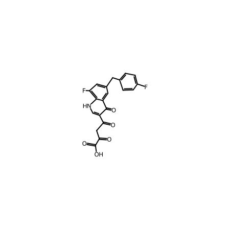 O=C(O)C(=O)CC(=O)c1c[nH]c2c(F)cc(Cc3ccc(F)cc3)cc2c1=O